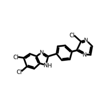 Clc1cc2nc(-c3ccc(-c4nccnc4Cl)cc3)[nH]c2cc1Cl